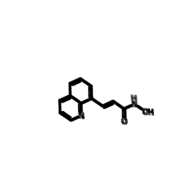 O=C(C=Cc1cccc2cccnc12)NO